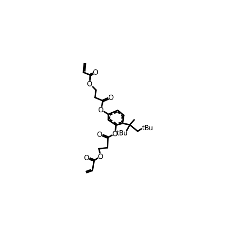 C=CC(=O)OCCC(=O)Oc1ccc(C(C)(CC(C)(C)C)C(C)(C)C)c(OC(=O)CCOC(=O)C=C)c1